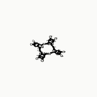 O=C1C(=O)C2C=CC1C1=C2c2nc1cc1[nH]c(nc3nc(cc4[nH]c(n2)c2c4C4C=CC2C(=O)C4=O)C2=C3C3C=CC2C(=O)C3=O)c2c1C1C=CC2C(=O)C1=O